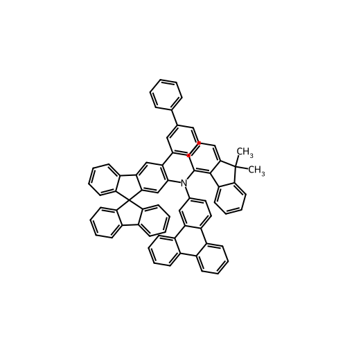 CC1(C)c2ccccc2-c2c(N(c3ccc4c5ccccc5c5ccccc5c4c3)c3cc4c(cc3-c3cccc(-c5ccccc5)c3)-c3ccccc3C43c4ccccc4-c4ccccc43)cccc21